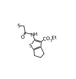 CCOC(=O)c1c(NC(=O)C[S])sc2c1CCC2